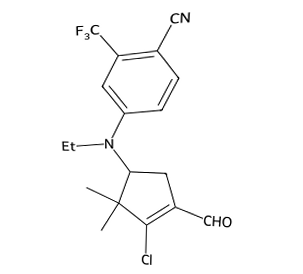 CCN(c1ccc(C#N)c(C(F)(F)F)c1)C1CC(C=O)=C(Cl)C1(C)C